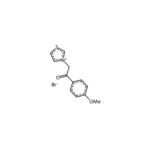 COc1ccc(C(=O)C[n+]2ccsc2)cc1.[Br-]